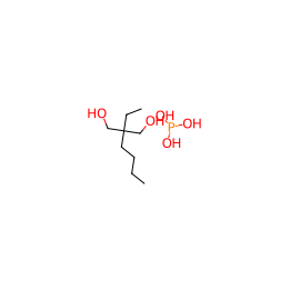 CCCCC(CC)(CO)CO.OP(O)O